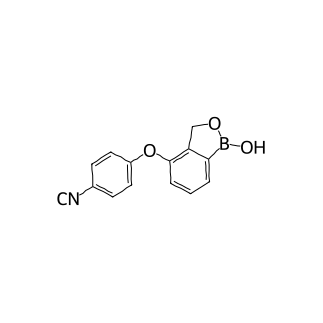 [C-]#[N+]c1ccc(Oc2cccc3c2COB3O)cc1